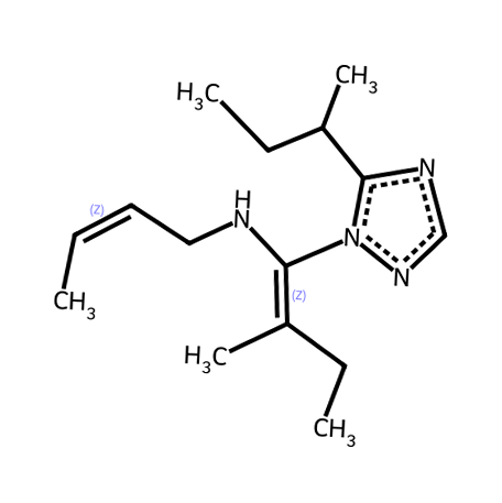 C/C=C\CN/C(=C(\C)CC)n1ncnc1C(C)CC